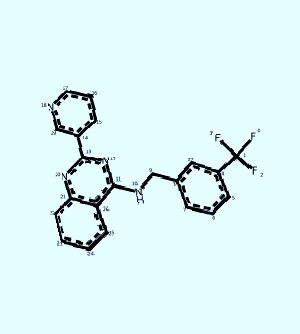 FC(F)(F)c1cccc(CNc2nc(-c3cccnc3)nc3ccccc23)c1